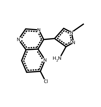 Cn1cc(-c2ncnc3ccc(Cl)nc23)c(N)n1